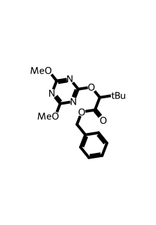 COc1nc(OC)nc(OC(C(=O)OCc2ccccc2)C(C)(C)C)n1